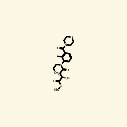 Cc1c(C(=O)N2CCOCC2)cccc1N1CCO[C@H]([C@@H](O)C(=O)OC(C)(C)C)C1=O